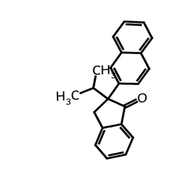 CC(C)C1(c2ccc3ccccc3c2)Cc2ccccc2C1=O